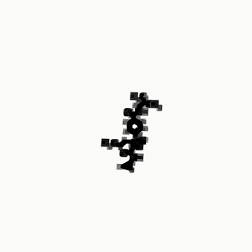 CCCc1c(C(=O)NC2CC2)nnn1-c1ccc(C(=O)NCC(C)C)cc1